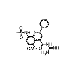 COc1ccc(NS(C)(=O)=O)c2nc(-c3ccccc3)cc(C(=O)NC(=N)N)c12